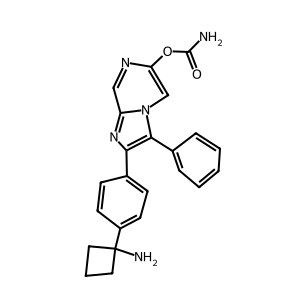 NC(=O)Oc1cn2c(-c3ccccc3)c(-c3ccc(C4(N)CCC4)cc3)nc2cn1